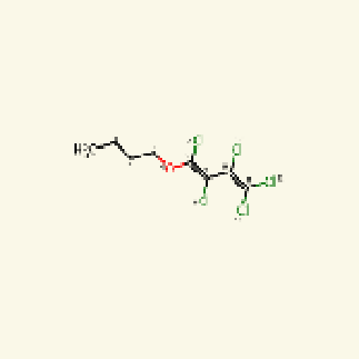 CCCCOC(Cl)=C(Cl)C(Cl)=C(Cl)Cl